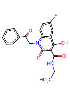 O=C(O)CNC(=O)c1c(O)c2cc(F)ccc2n(CC(=O)c2ccccc2)c1=O